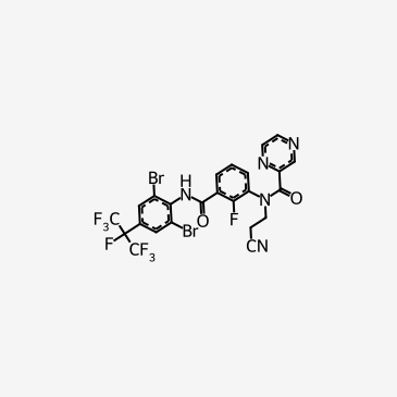 N#CCCN(C(=O)c1cnccn1)c1cccc(C(=O)Nc2c(Br)cc(C(F)(C(F)(F)F)C(F)(F)F)cc2Br)c1F